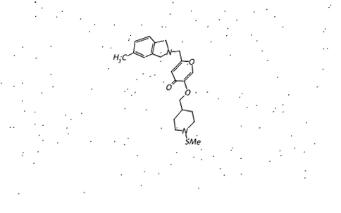 CSN1CCC(COc2coc(CN3Cc4ccc(C)cc4C3)cc2=O)CC1